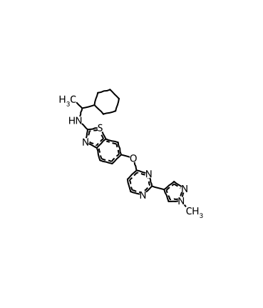 CC(Nc1nc2ccc(Oc3ccnc(-c4cnn(C)c4)n3)cc2s1)C1CCCCC1